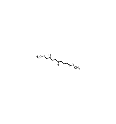 COCNCCNCCCSOC